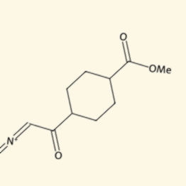 COC(=O)C1CCC(C(=O)C=[N+]=[N-])CC1